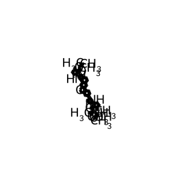 COC(O)N[C@H](C(=O)N1[C@@H](C)CC[C@H]1c1ncc(-c2ccc3c(c2)COc2cc4c(ccc5nc([C@@H]6CCCN6C(=O)OC(C)(C)C)[nH]c54)cc2-3)[nH]1)C(C)C